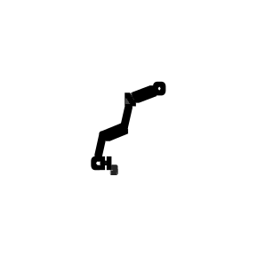 CC=CN=O